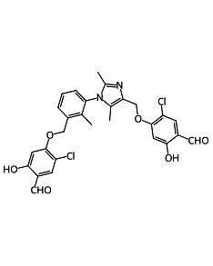 Cc1c(COc2cc(O)c(C=O)cc2Cl)cccc1-n1c(C)nc(COc2cc(O)c(C=O)cc2Cl)c1C